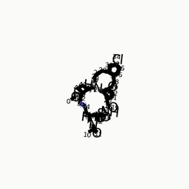 CO[C@H]1/C=C/C[C@@H]2CN(C(C)=O)C[C@H]2S(=O)(=O)NC(=O)c2ccc3c(c2)N(CCCCc2cc(Cl)ccc2CO3)C[C@@H]2CC[C@H]21